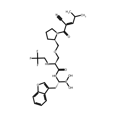 CC(C)C=C(C#N)C(=O)N1CCC[C@@H]1COC[C@H](NCC(F)(F)F)C(=O)N[C@@H](Cc1coc2ccccc12)B(O)O